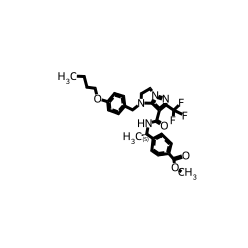 CCCCOc1ccc(CN2CCn3nc(C(F)(F)F)c(C(=O)N[C@@H](C)c4ccc(C(=O)OC)cc4)c32)cc1